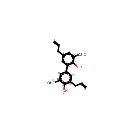 C=CCc1cc(C=O)c(O)c(-c2cc(C=O)c(O)c(CC=C)c2)c1